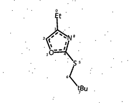 CCc1coc(SCC(C)(C)C)n1